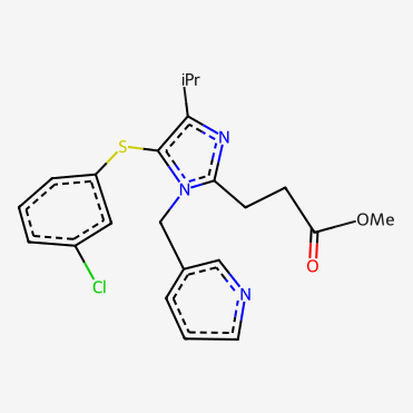 COC(=O)CCc1nc(C(C)C)c(Sc2cccc(Cl)c2)n1Cc1cccnc1